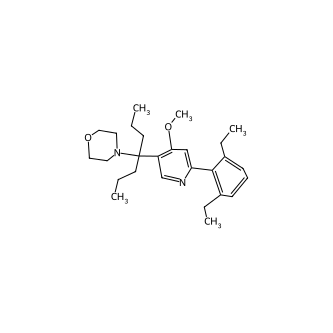 CCCC(CCC)(c1cnc(-c2c(CC)cccc2CC)cc1OC)N1CCOCC1